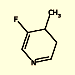 CC1CC=NC=C1F